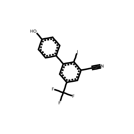 N#Cc1cc(C(F)(F)F)cc(-c2ccc(O)cc2)c1I